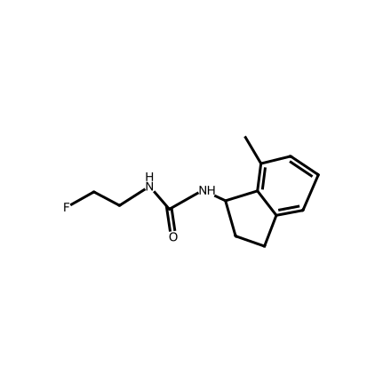 Cc1cccc2c1C(NC(=O)NCCF)CC2